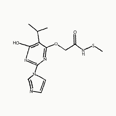 CSNC(=O)COc1nc(-n2ccnc2)nc(O)c1C(C)C